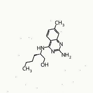 CCCC[C@H](CO)Nc1nc(N)nc2cc(C)ccc12